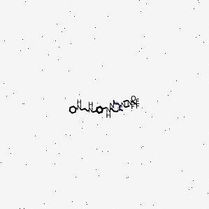 CC1=C/C(N2CCN(C(=O)C(F)(F)F)CC2)=C(/C)CC/C(NCc2ccc(CNCCCNC3CCCCC3)cc2)=N\1